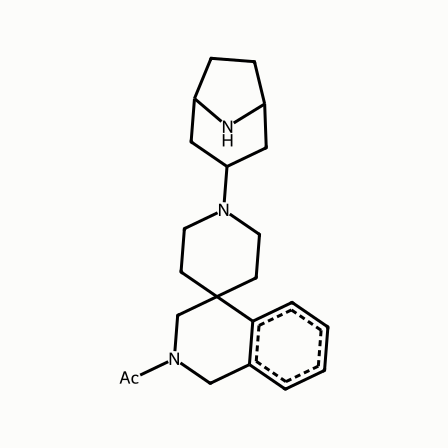 CC(=O)N1Cc2ccccc2C2(CCN(C3CC4CCC(C3)N4)CC2)C1